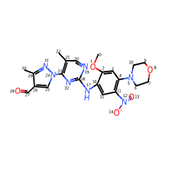 COc1cc(N2CCOCC2)c([N+](=O)[O-])cc1Nc1ncc(C)c(-n2cc(C=O)c(C)n2)n1